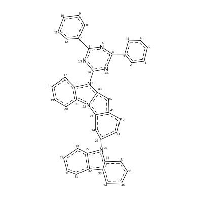 c1ccc(-c2nc(-c3ccccc3)nc(-n3c4ccccc4n4c5cc(-n6c7ccccc7c7ccccc76)ccc5cc34)n2)cc1